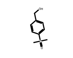 CP(C)(=O)c1ccc(CO)cc1